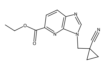 CCOC(=O)c1ccc2ncn(CC3(C#N)CC3)c2n1